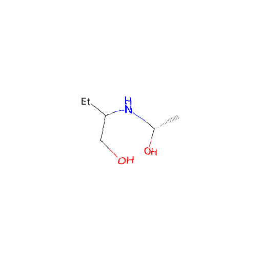 CCC(CO)N[C@H](C)O